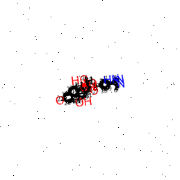 Cc1nn[nH]c1-c1ccc([C@H]2O[C@@H]3C[C@H]4[C@@H]5CCC6=CC(=O)C=C[C@]6(C)[C@H]5[C@@H](O)C[C@]4(C)[C@]3(C(=O)CO)O2)cc1